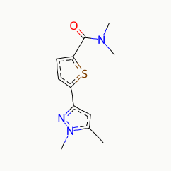 Cc1cc(-c2ccc(C(=O)N(C)C)s2)nn1C